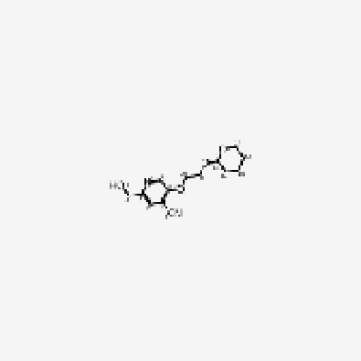 N#Cc1cc(CO)ncc1OCCOC1CCCCO1